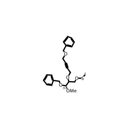 CO[C@@H](OCc1ccccc1)C(COSI)OCC#CCOCc1ccccc1